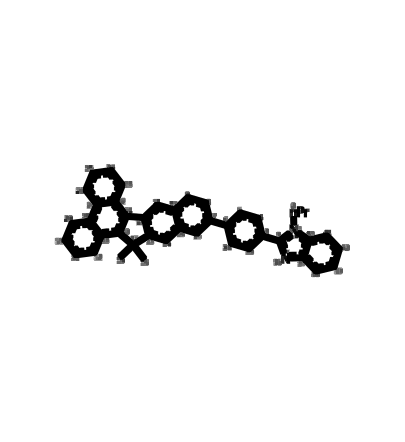 CCCn1c(-c2ccc(-c3ccc4cc5c(cc4c3)C(C)(C)c3c-5c4ccccc4c4ccccc34)cc2)nc2ccccc21